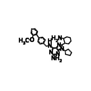 COc1ccccc1-c1ccc(CNc2nc(N)nc3c2nc(C2CCCCC2N)n3C2CCCC2)cc1